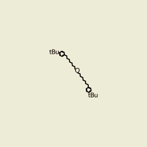 CC(C)(C)c1ccc(CCCCCCCCOCCCCCCCCc2ccc(C(C)(C)C)cc2)cc1